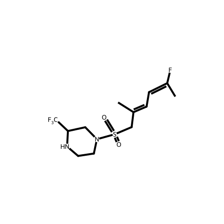 C/C(F)=C\C=C(/C)CS(=O)(=O)N1CCNC(C(F)(F)F)C1